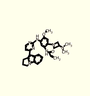 C=CC(=O)Nc1cc(Nc2nccc(-c3c4n(c5ccccc35)CCC4)n2)c(OC)cc1N1CC(N(C)C)C1